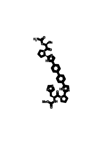 CCC(C)[C@H](OC(N)=O)C(=O)N1CCC[C@H]1c1ncc(-c2ccc(-c3ccc(-c4cnc(C5CCCN5C(=O)[C@H](Cc5cscn5)NC(=O)OC)[nH]4)cc3)cc2)[nH]1